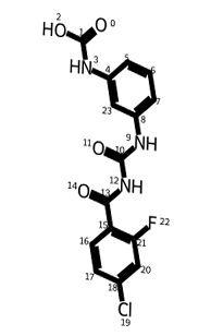 O=C(O)Nc1cccc(NC(=O)NC(=O)c2ccc(Cl)cc2F)c1